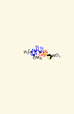 COc1nc(C)nc(NC(=O)NS(=O)(=O)c2cc([N+](=O)[O-])cs2)n1